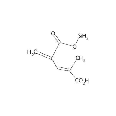 C=C(C=C(C)C(=O)O)C(=O)O[SiH3]